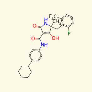 CC1(Cc2c(F)cccc2C(F)(F)F)NC(=O)C(C(=O)Nc2ccc(C3CCCCC3)cc2)=C1O